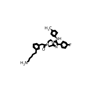 Cc1ccc(Nc2c(-c3ccc(F)cc3)nc3n2CCN(C(=O)Cc2cccc(CCCCCN)c2)C3)cc1